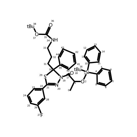 CC(O[Si](c1ccccc1)(c1ccccc1)C(C)(C)C)C(=O)N1N=C(c2cccc(F)c2)SC1(CCCNC(=O)OC(C)(C)C)c1ccccc1